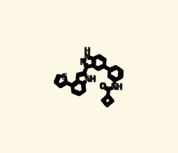 O=C(Nc1c#ccc(-c2ccc3[nH]nc(-c4cc5c(-c6cccs6)cccc5[nH]4)c3c2)c1)C1CCC1